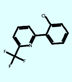 FC(F)(F)c1cccc(-c2ccccc2Cl)n1